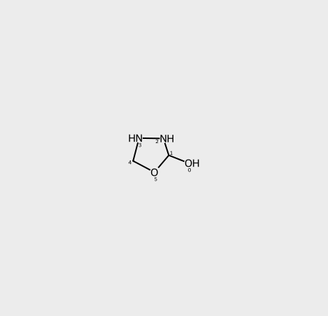 OC1NNCO1